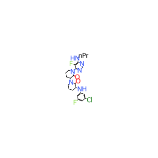 CCCNc1ncnc(N2CCC[C@@H](N3CCCC(Nc4cc(F)cc(Cl)c4)C3=O)C2=O)c1F